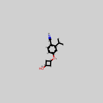 CC(C)c1cc(OC2CC(O)C2)ccc1C#N